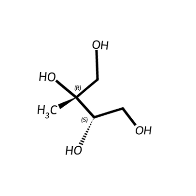 C[C@@](O)(CO)[C@@H](O)CO